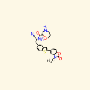 Cn1c(=O)oc2ccc(-c3cc4cc(CC(C#N)NC(=O)[C@@H]5CNCCCO5)ccc4s3)cc21